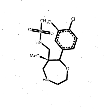 CO[C@]1(CNS(C)(=O)=O)CNCCOC1c1ccc(Cl)c(Cl)c1